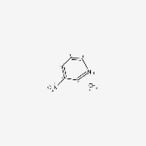 C.O=[N+]([O-])c1cccnc1